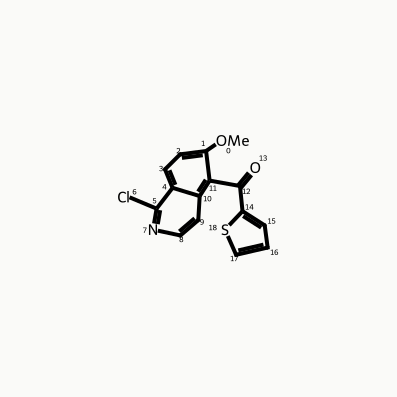 COc1ccc2c(Cl)nccc2c1C(=O)c1cccs1